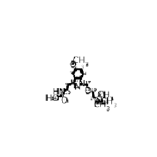 COc1ccc2c(c1)c(CCNC(=O)O)nn2COCC[Si](C)(C)C